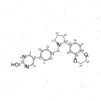 Oc1ncc(-c2ccc(CN3CCCC3c3ccc4c(c3)OCCO4)cc2)cn1